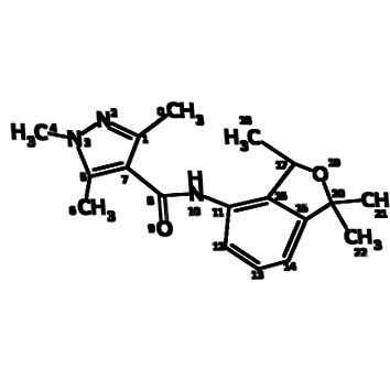 Cc1nn(C)c(C)c1C(=O)Nc1cccc2c1C(C)OC2(C)C